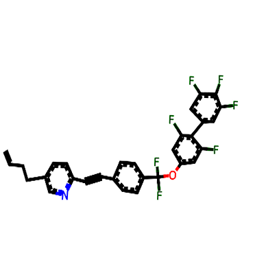 C=CCCc1ccc(C#Cc2ccc(C(F)(F)Oc3cc(F)c(-c4cc(F)c(F)c(F)c4)c(F)c3)cc2)nc1